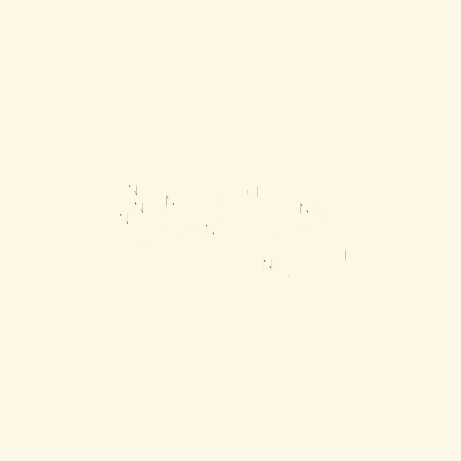 Nc1cc(F)ccc1-c1cc(Cl)c(C(=O)Nc2cnc(-n3nccn3)c(Cl)c2)cc1N